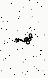 CC(=O)S[C@@H]1CCN(CC#CCN(C)C)C1=O